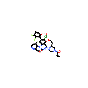 C=CC(=O)N1CCN2c3nc(=O)n(-c4c(C)ccnc4C(C)C)c4c(F)c(-c5c(O)ccc(F)c5F)c(Cl)c(c34)OCCC2C1